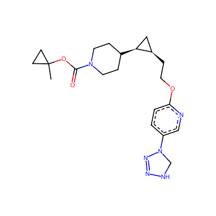 CC1(OC(=O)N2CCC([C@H]3C[C@H]3CCOc3ccc(N4CNN=N4)cn3)CC2)CC1